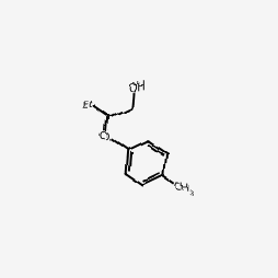 [CH2]CC(CO)Oc1ccc(C)cc1